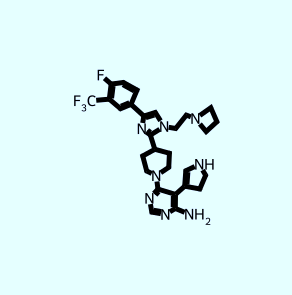 Nc1ncnc(N2CCC(c3nc(-c4ccc(F)c(C(F)(F)F)c4)cn3CCN3CCC3)CC2)c1C1=CNCC1